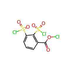 O=C(OCl)c1cccc(S(=O)(=O)Cl)c1S(=O)(=O)Cl